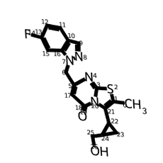 Cc1sc2nc(Cn3ncc4ccc(F)cc43)cc(=O)n2c1C1CC1CO